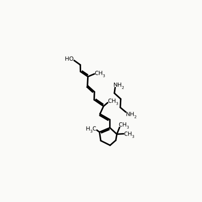 CC1=C(/C=C/C(C)=C/C=C/C(C)=C/CO)C(C)(C)CCC1.NCCCN